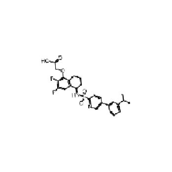 CC(C)c1cccc(-c2ccc(S(=O)(=O)NC3CCCc4c3cc(F)c(F)c4OCC(=O)O)nc2)c1